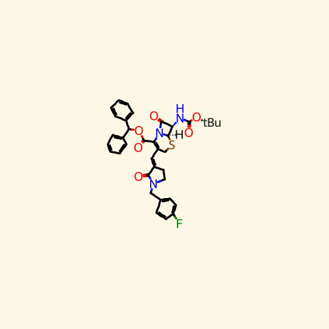 CC(C)(C)OC(=O)N[C@@H]1C(=O)N2C(C(=O)OC(c3ccccc3)c3ccccc3)=C(C=C3CCN(Cc4ccc(F)cc4)C3=O)CS[C@H]12